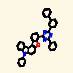 C1=CC2C(c3ccccc3N2c2ccccc2)c2c1oc1c(-c3nc(-c4ccccc4)nc(-c4cccc(-c5ccccc5)c4)n3)cccc21